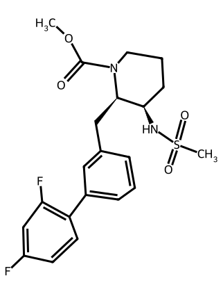 COC(=O)N1CCC[C@@H](NS(C)(=O)=O)[C@H]1Cc1cccc(-c2ccc(F)cc2F)c1